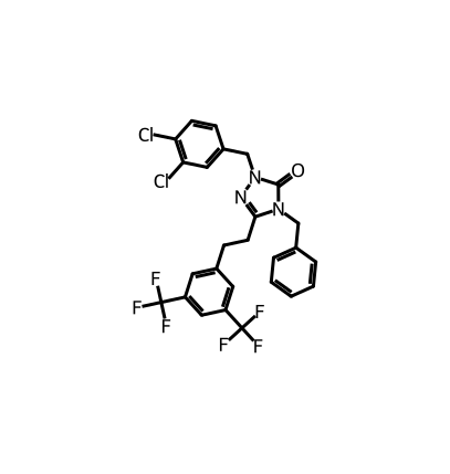 O=c1n(Cc2ccc(Cl)c(Cl)c2)nc(CCc2cc(C(F)(F)F)cc(C(F)(F)F)c2)n1Cc1ccccc1